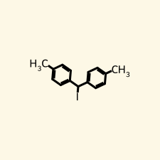 Cc1ccc(C(I)c2ccc(C)cc2)cc1